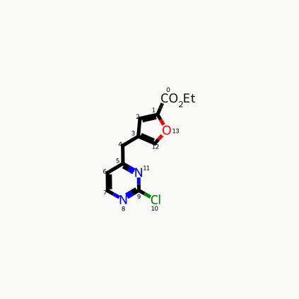 CCOC(=O)c1cc(Cc2ccnc(Cl)n2)co1